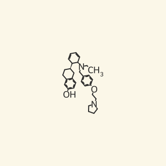 CCN(Cc1ccc(OCCN2CCCC2)cc1)C1C=CC=CC1[C@@H]1CCc2cc(O)ccc2C1